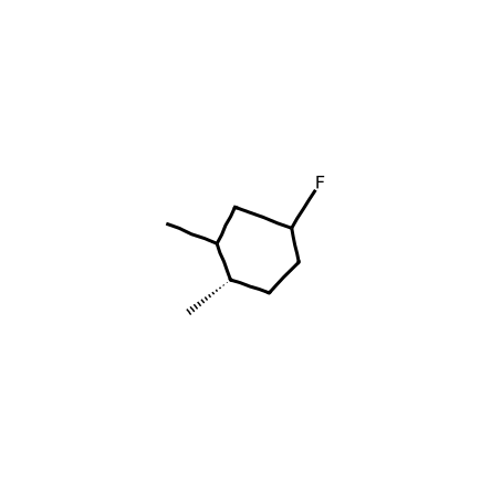 CC1CC(F)CC[C@@H]1C